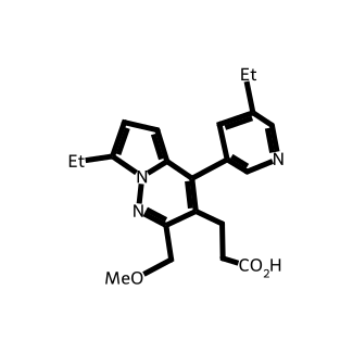 CCc1cncc(-c2c(CCC(=O)O)c(COC)nn3c(CC)ccc23)c1